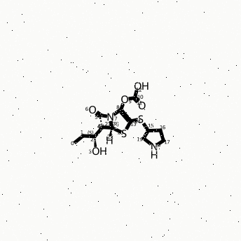 CC[C@H](O)[C@@H]1C(=O)N2C(OC(=O)O)=C(SC3CCNC3)S[C@H]12